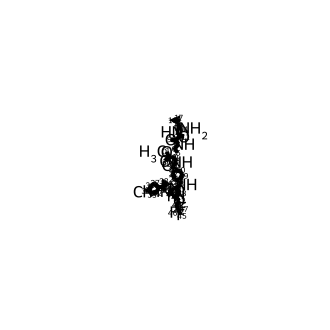 COC(=O)[C@H](CCNC(=O)C(=O)N[C@@H](N)C1CC1)NC(=O)c1ccc(Nc2nc(NC3(c4ccc(Cl)cc4)CC3)nc(OCC(F)(F)F)n2)cc1